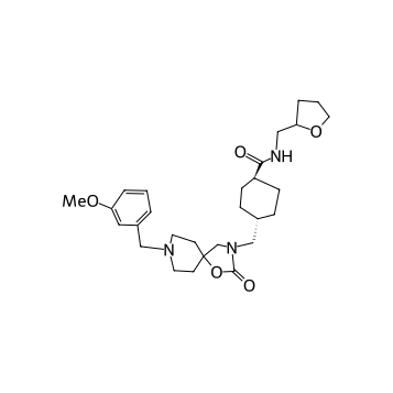 COc1cccc(CN2CCC3(CC2)CN(C[C@H]2CC[C@H](C(=O)NCC4CCCO4)CC2)C(=O)O3)c1